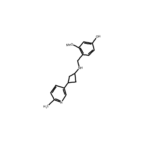 COc1cc(O)ccc1CNC1CC(c2ccc(C)nc2)C1